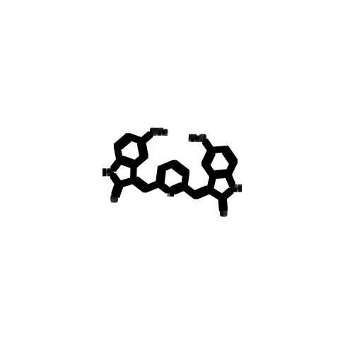 COc1ccc2c(c1)/C(=C\c1cccc(/C=C3/C(=O)Nc4ccc(OC)cc43)n1)C(=O)N2